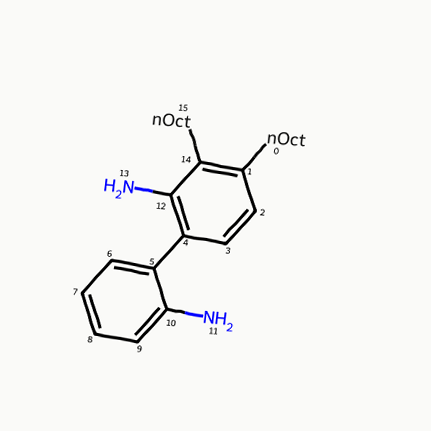 CCCCCCCCc1ccc(-c2ccccc2N)c(N)c1CCCCCCCC